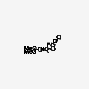 COC(OC)C1CCN(c2cc(C)c(C3=CCCc4cc(OCc5ccccc5)ccc43)c(F)c2)CC1